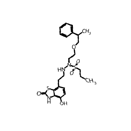 CCCS(=O)(=O)N(CCOCC(C)c1ccccc1)NCCc1ccc(O)c2[nH]c(=O)sc12